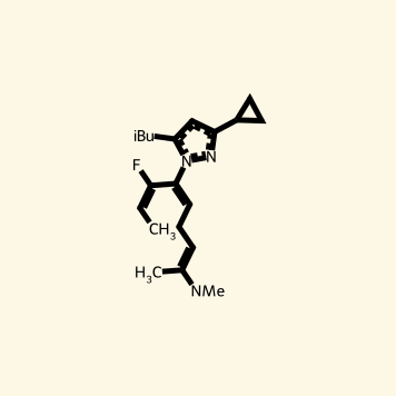 C/C=C(/F)C(=CC/C=C(\C)NC)n1nc(C2CC2)cc1C(C)CC